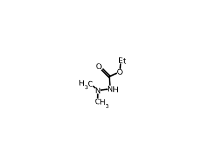 CCOC(=O)NN(C)C